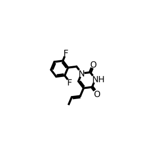 C/C=C/c1cn(Cc2c(F)cccc2F)c(=O)[nH]c1=O